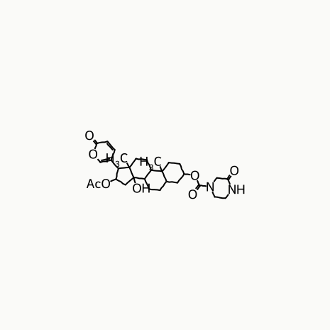 CC(=O)OC1CC2(O)C3CCC4CC(OC(=O)N5CCNC(=O)C5)CCC4(C)C3CCC2(C)C1c1ccc(=O)oc1